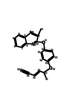 Cc1nc2ccccc2nc1Oc1ccc(OC(C)/C=C/C#N)cc1